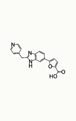 O=C(O)c1ccc(-c2ccc3nc(Cc4ccncc4)[nH]c3c2)o1